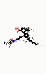 CCCCCCC(C)(C)c1cc(OCCCCNC(=O)OC(C)(C)C)c2c(c1)OC(C)(C)[C@@H]1CC=C(C(=O)O)C[C@@H]21